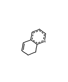 [c]1cnc2c(c1)C=CCC2